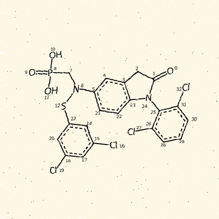 O=C1Cc2cc(N(CP(=O)(O)O)Sc3cc(Cl)cc(Cl)c3)ccc2N1c1c(Cl)cccc1Cl